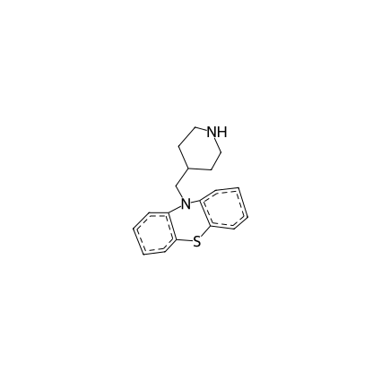 c1ccc2c(c1)Sc1ccccc1N2CC1CCNCC1